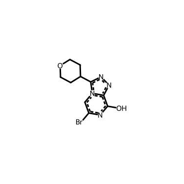 Oc1nc(Br)cn2c(C3CCOCC3)nnc12